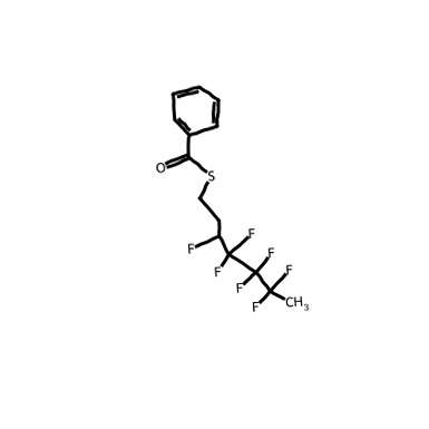 CC(F)(F)C(F)(F)C(F)(F)C(F)CCSC(=O)c1ccccc1